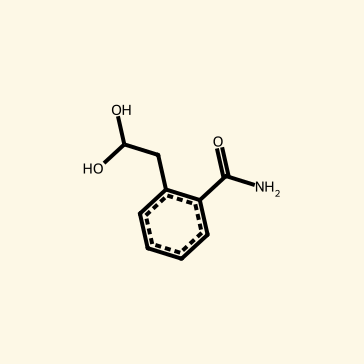 NC(=O)c1ccccc1CC(O)O